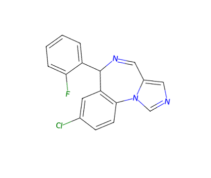 Fc1ccccc1C1N=Cc2cncn2-c2ccc(Cl)cc21